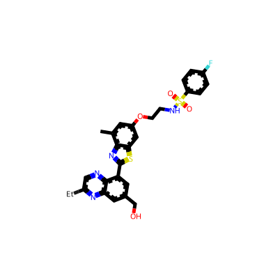 CCc1cnc2c(-c3nc4c(C)cc(OCCNS(=O)(=O)c5ccc(F)cc5)cc4s3)cc(CO)cc2n1